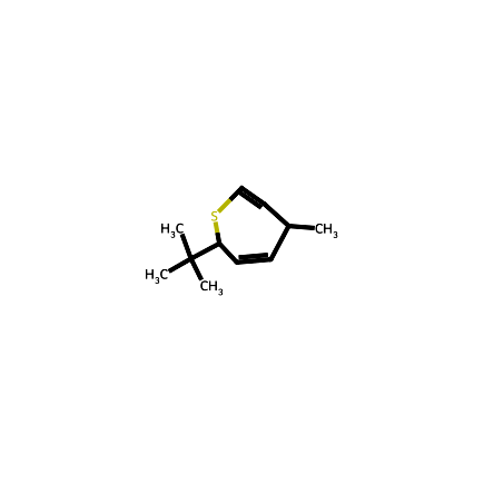 CC1C=CSC(C(C)(C)C)C=C1